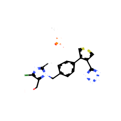 CCCCc1nc(Cl)c(CO)n1Cc1ccc(-c2cscc2-c2nnn[nH]2)cc1.O=P([O-])(O)O.[Na+]